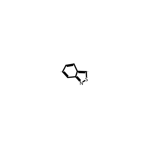 [c]1ccc2[c]snc2c1